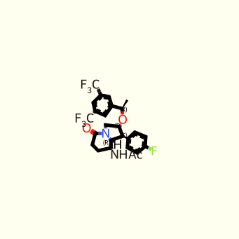 CC(=O)NC1CCC(=O)N2C[C@H](O[C@H](C)c3cc(C(F)(F)F)cc(C(F)(F)F)c3)[C@@H](c3ccc(F)cc3)[C@H]12